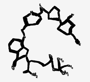 CC(C)(C)OC(=O)CC[C@@H](C(N)=O)N1Cc2c(OCc3ccc(SC4CCN(c5ccc(C#N)cc5F)C4)nc3)cccc2C1=O